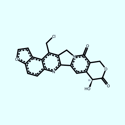 O=C1OCc2c(cc3n(c2=O)Cc2c-3nc3ccc4occc4c3c2CCl)[C@@H]1O